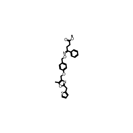 COC(=O)CCC(=NOCc1ccc(OCc2nc(Cc3cccs3)oc2C)cc1)c1ccccc1